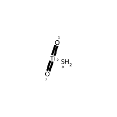 S.[O]=[Ti]=[O]